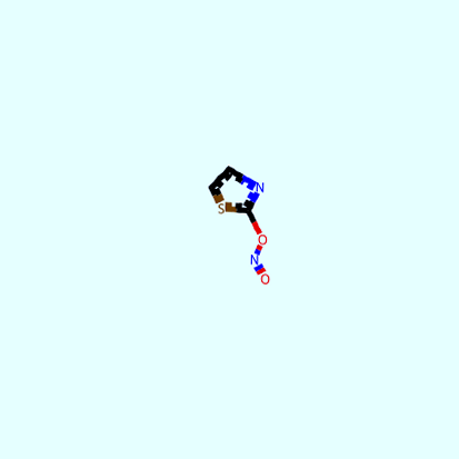 O=NOc1nccs1